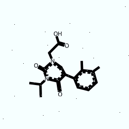 Cc1cccc(-c2cn(CC(=O)O)c(=O)n(C(C)C)c2=O)c1C